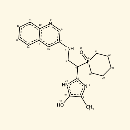 Cc1nc(C(CNc2cnc3ccccc3c2)P2(=O)CCCCC2)[nH]c1O